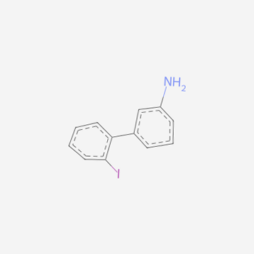 Nc1cccc(-c2ccccc2I)c1